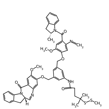 C=Nc1cc(OCc2cc(COc3cc4c(cc3OC)C(=O)N3c5ccccc5C[C@H]3C=N4)cc(NC(=O)CCC(C)(C)SSC)c2)c(OC)cc1C(=O)N1c2ccccc2C[C@H]1C